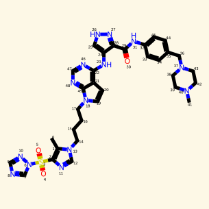 Cc1c(S(=O)(=O)n2cncn2)ncn1CCCCn1ccc2c(Nc3c[nH]nc3C(=O)Nc3ccc(CN4CCN(C)CC4)cc3)ncnc21